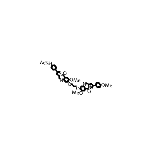 COc1ccc(C2=CN3C(=O)c4cc(OC)c(OCCCOc5cc6c(cc5OC)C(=O)N5C=C(c7ccc(NC(C)=O)cc7)CC5C=N6)cc4N=CC3C2)cc1